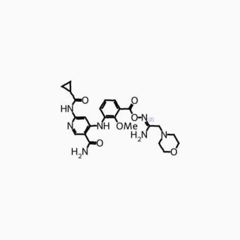 COc1c(Nc2cc(NC(=O)C3CC3)ncc2C(N)=O)cccc1C(=O)O/N=C(\N)CN1CCOCC1